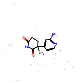 CC1(c2ccnc(N)c2)CCC(=O)NC1=O